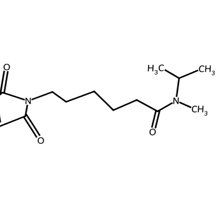 CC(C)N(C)C(=O)CCCCCN1C(=O)C=CC1=O